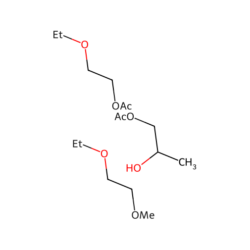 CC(=O)OCC(C)O.CCOCCOC.CCOCCOC(C)=O